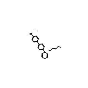 CCCCCOC1(c2ccc(-c3ccc(C(=O)O)cc3)cc2)C=CCC=C1